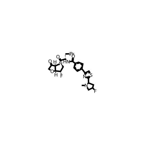 CC(C)C[C@H](NC(=O)c1ccc(-c2csc(C3CC(F)CN3C)n2)cc1)C(=O)N1C[C@H](F)[C@H]2OCC(=O)[C@H]21